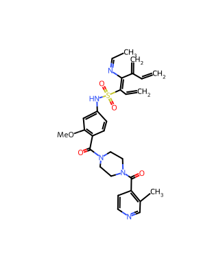 C=CC(=C)C(/N=C\C)=C(\C=C)S(=O)(=O)Nc1ccc(C(=O)N2CCN(C(=O)c3ccncc3C)CC2)c(OC)c1